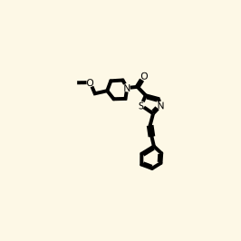 COCC1CCN(C(=O)c2cnc(C#Cc3ccccc3)s2)CC1